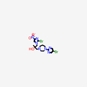 CC(O)(CN1CCCN(c2ncc(Br)cn2)CC1)Cn1cc([N+](=O)[O-])nc1Br